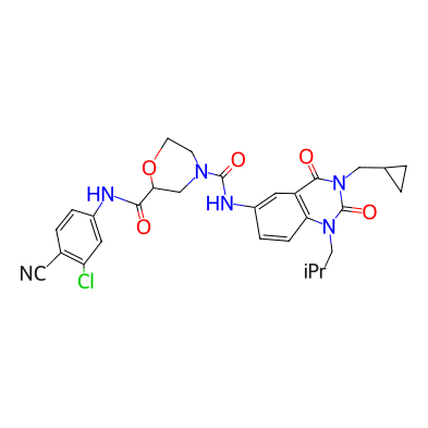 CC(C)Cn1c(=O)n(CC2CC2)c(=O)c2cc(NC(=O)N3CCOC(C(=O)Nc4ccc(C#N)c(Cl)c4)C3)ccc21